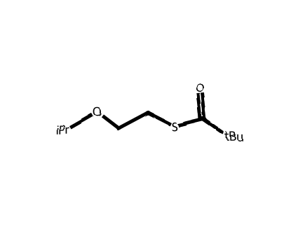 CC(C)OCCSC(=O)C(C)(C)C